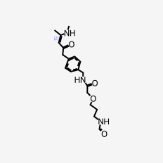 CN/C(C)=C\C(=O)Cc1ccc(CNC(=O)COCCCNC=O)cc1